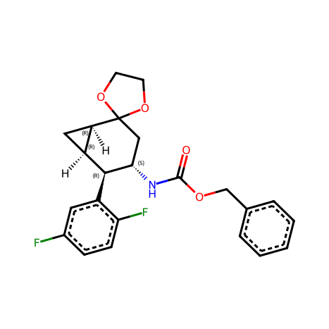 O=C(N[C@H]1CC2(OCCO2)[C@@H]2C[C@@H]2[C@@H]1c1cc(F)ccc1F)OCc1ccccc1